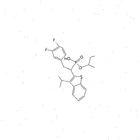 CCC(C)OP(=O)(O)C(Cc1ccc(F)c(F)c1)c1sc2ccccc2c1C(C)C